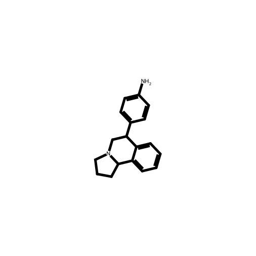 Nc1ccc(C2CN3CCCC3c3ccccc32)cc1